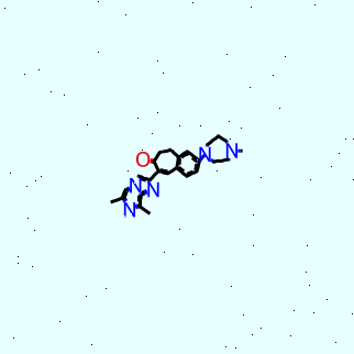 Cc1cn2cc(C3=Cc4ccc(N5CCCN(C)CC5)cc4CCC3=O)nc2c(C)n1